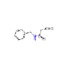 CC[C@H](CC=O)NCc1ccccc1